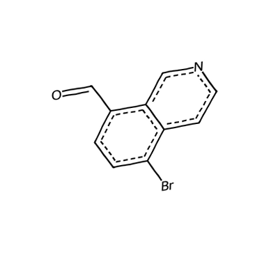 O=Cc1ccc(Br)c2ccncc12